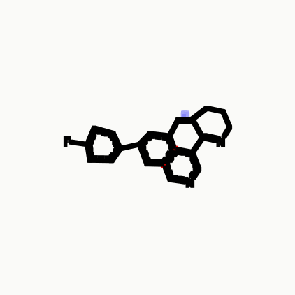 Fc1ccc(-c2cccc(/C=C3/CCCN=C3c3cccnc3)c2)cc1